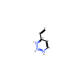 C=Cc1ccnnn1